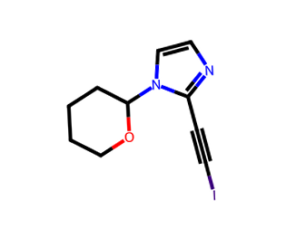 IC#Cc1nccn1C1CCCCO1